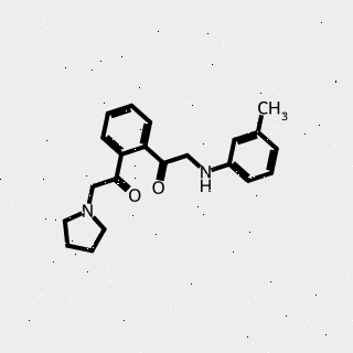 Cc1cccc(NCC(=O)c2ccccc2C(=O)CN2CCCC2)c1